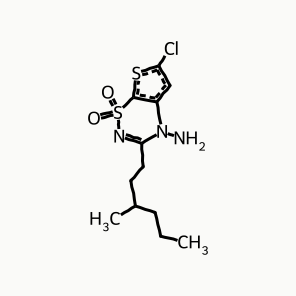 CCCC(C)CCC1=NS(=O)(=O)c2sc(Cl)cc2N1N